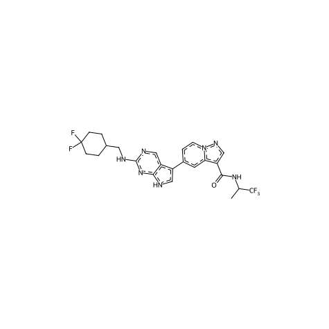 CC(NC(=O)c1cnn2ccc(-c3c[nH]c4nc(NCC5CCC(F)(F)CC5)ncc34)cc12)C(F)(F)F